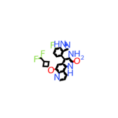 Nc1c(-c2ccc(F)c3[nH]ncc23)c2cc(OC3CC(C(F)F)C3)c3ncccc3c2[nH]c1=O